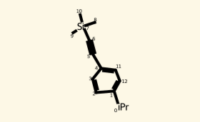 CC(C)c1ccc(C#C[Si](C)(C)C)cc1